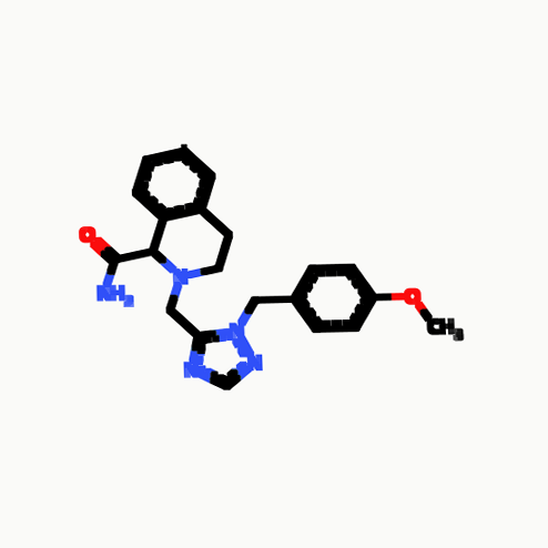 COc1ccc(Cn2ncnc2CN2CCc3c[c]ccc3C2C(N)=O)cc1